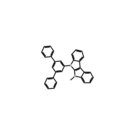 Cn1c2ccccc2c2c3ccccc3n(-c3cc(-c4ccccc4)cc(-c4ccccc4)c3)c21